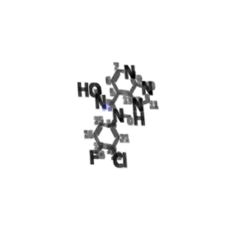 CN(/C(=N/O)c1ccnc2nc[nH]c12)c1ccc(F)c(Cl)c1